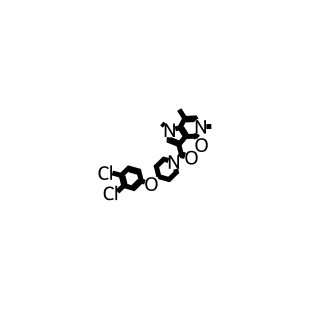 Cc1cn(C)c(=O)c2c(C(=O)N3CCC(Oc4ccc(Cl)c(Cl)c4)CC3)cn(C)c12